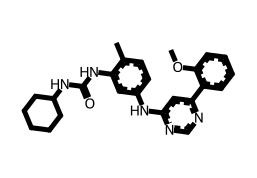 COc1ccccc1-c1cc(Nc2ccc(C)c(NC(=O)NC3CCCCC3)c2)ncn1